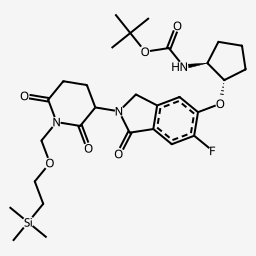 CC(C)(C)OC(=O)N[C@H]1CCC[C@@H]1Oc1cc2c(cc1F)C(=O)N(C1CCC(=O)N(COCC[Si](C)(C)C)C1=O)C2